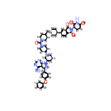 Nc1ncnc2c1c(-c1ccc(Oc3ccccc3)cc1)nn2[C@@H]1CCCN(C2CCN(C(=O)N3CCC(CN4CCC(c5ccc6c(c5)C(=O)N(C5CCC(=O)NC5=O)C6=O)CC4)CC3)CC2)C1